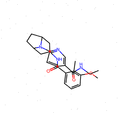 CCNC(=O)c1ccc(N2C3CCC2CC(NC(=O)c2cccc(OC)c2C)C3)nc1